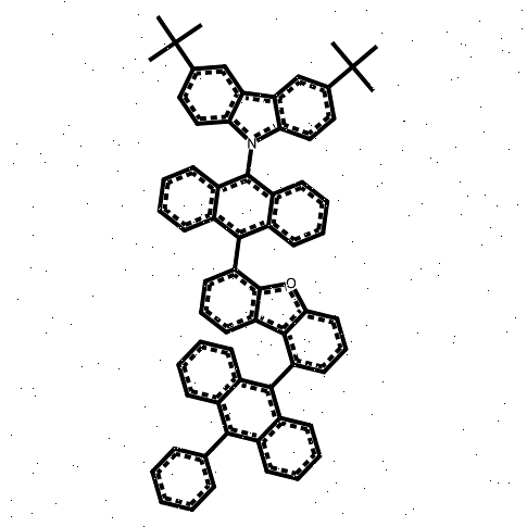 CC(C)(C)c1ccc2c(c1)c1cc(C(C)(C)C)ccc1n2-c1c2ccccc2c(-c2cccc3c2oc2cccc(-c4c5ccccc5c(-c5ccccc5)c5ccccc45)c23)c2ccccc12